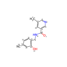 Cc1cncc(C(=O)NCc2ccc(C#N)cc2O)c1